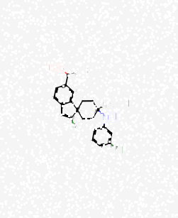 C[C@H](O)c1ccc2c(c1)C1(CCC(Nc3cccc(Cl)c3)(C(=O)O)CC1)C(Br)=C2